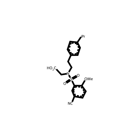 COc1ccc(C#N)cc1S(=O)(=O)N(CCc1ccc(C(C)C)cc1)CC(=O)O